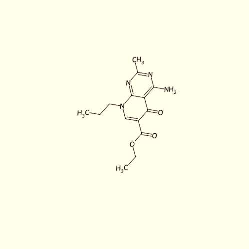 CCCn1cc(C(=O)OCC)c(=O)c2c(N)nc(C)nc21